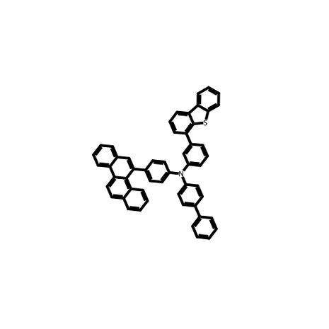 c1ccc(-c2ccc(N(c3ccc(-c4cc5ccccc5c5ccc6ccccc6c45)cc3)c3cccc(-c4cccc5c4sc4ccccc45)c3)cc2)cc1